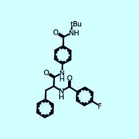 CC(C)(C)NC(=O)c1ccc(NC(=O)C(Cc2ccccc2)NC(=O)c2ccc(F)cc2)cc1